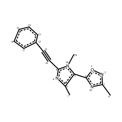 Cc1noc(-c2c(C)nc(C#Cc3ccccc3)n2C)n1